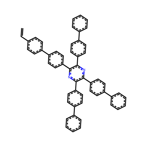 C=Cc1ccc(-c2ccc(-c3nc(-c4ccc(-c5ccccc5)cc4)c(-c4ccc(-c5ccccc5)cc4)nc3-c3ccc(-c4ccccc4)cc3)cc2)cc1